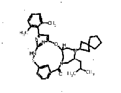 Cc1cccc(C)c1-c1cc2nc(n1)NSc1cccc(c1)C(=O)N1C[C@@H](CN(C3CC4(CCCC4)C3)[C@@H](CC(C)C)C1)O2